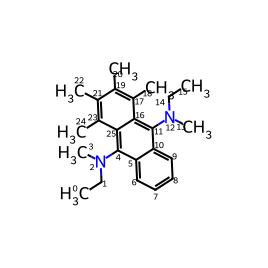 CCN(C)c1c2ccccc2c(N(C)CC)c2c(C)c(C)c(C)c(C)c12